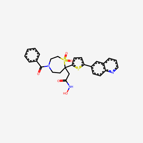 O=C(CC1(c2ccc(-c3ccc4ncccc4c3)s2)CCN(C(=O)c2ccccc2)CCS1(=O)=O)NO